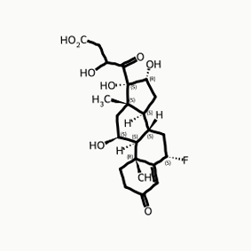 C[C@]12CCC(=O)C=C1[C@@H](F)C[C@@H]1[C@@H]2[C@@H](O)C[C@@]2(C)[C@H]1C[C@@H](O)[C@]2(O)C(=O)C(O)CC(=O)O